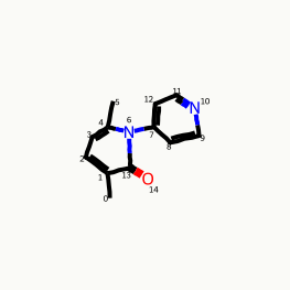 Cc1ccc(C)n(-c2ccncc2)c1=O